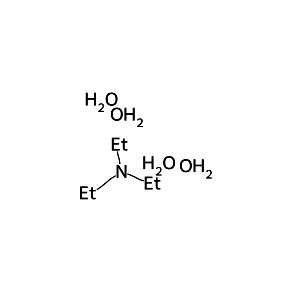 CCN(CC)CC.O.O.O.O